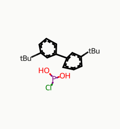 CC(C)(C)c1cccc(-c2cccc(C(C)(C)C)c2)c1.OP(O)Cl